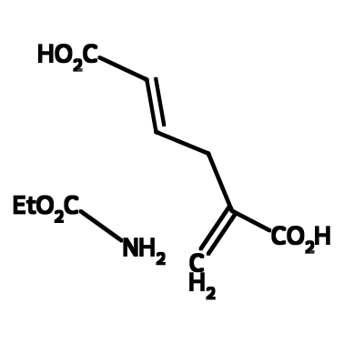 C=C(CC=CC(=O)O)C(=O)O.CCOC(N)=O